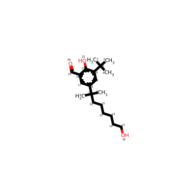 CC(C)(C)c1cc(C(C)(C)CCCCCCO)cc(C=O)c1O